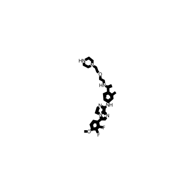 C=C(NCCOCCN1CCNCC1)c1ccc(Nc2nccn3c(-c4ccc(OC)c(F)c4F)cnc23)cc1C